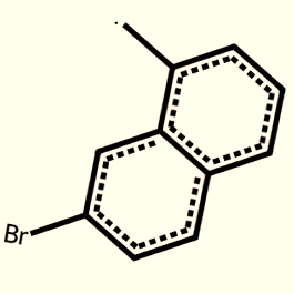 [CH2]c1cccc2ccc(Br)cc12